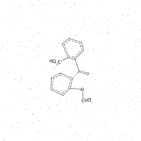 O=COc1ccccc1C(=O)c1ccccc1C(=O)O